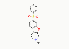 CC(C)N1CCC2c3ccc(S(=O)(=O)c4ccccc4)cc3OC2C1